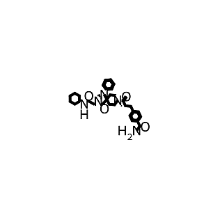 NC(=O)c1ccc(C[CH]C(=O)N2CCC3(CC2)C(=O)N(CC(=O)NC2CCCCC2)CN3c2ccccc2)cc1